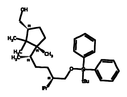 CC(C)[C@@H](CC[C@H](C)[C@@]1(C)CC[C@@H](CO)C1(C)C)CO[Si](c1ccccc1)(c1ccccc1)C(C)(C)C